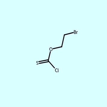 S=C(Cl)OCCBr